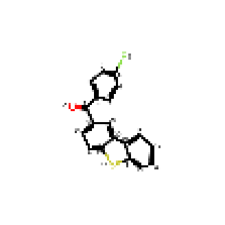 O=C(c1ccc(F)cc1)c1ccc2sc3ccccc3c2c1